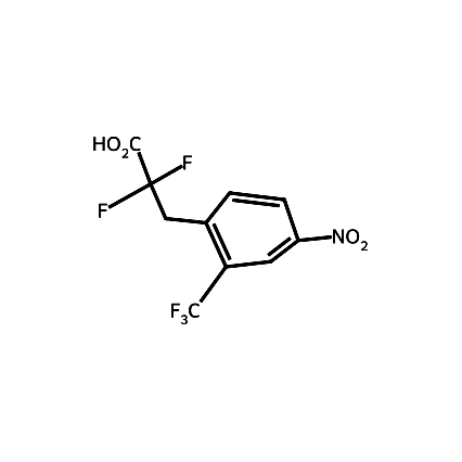 O=C(O)C(F)(F)Cc1ccc([N+](=O)[O-])cc1C(F)(F)F